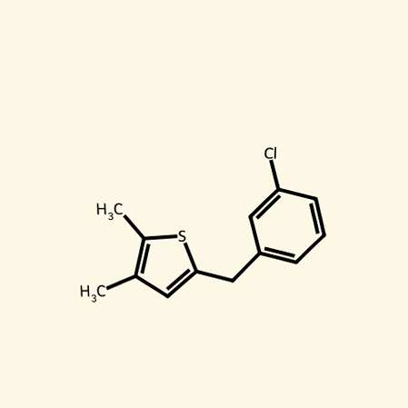 Cc1cc(Cc2cccc(Cl)c2)sc1C